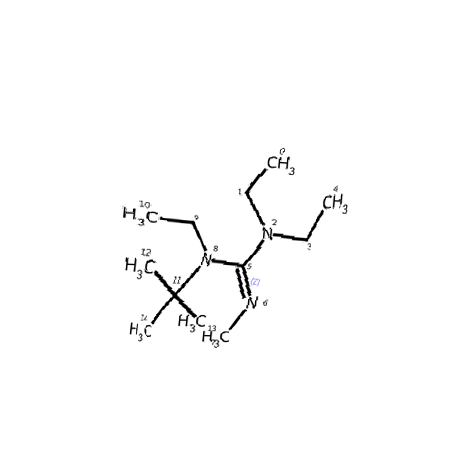 CCN(CC)/C(=N/C)N(CC)C(C)(C)C